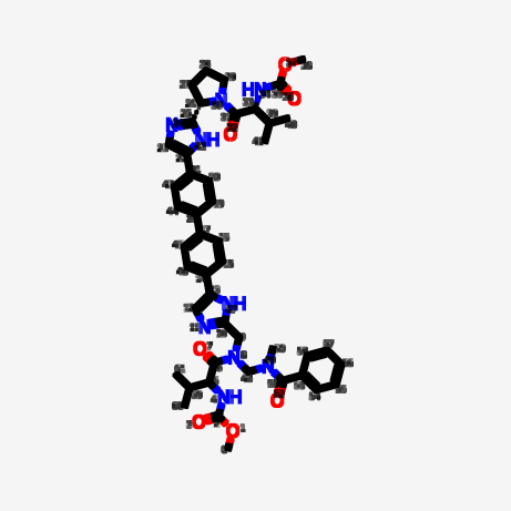 COC(=O)NC(C(=O)N(Cc1ncc(-c2ccc(-c3ccc(-c4cnc([C@@H]5CCCN5C(=O)[C@@H](NC(=O)OC)C(C)C)[nH]4)cc3)cc2)[nH]1)CN(C)C(=O)c1ccccc1)C(C)C